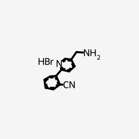 Br.N#Cc1ccccc1-c1ccc(CN)cn1